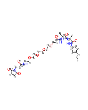 CCCc1ccc(NC(=O)[C@H](C)NC(=O)[C@H](C)NC(=O)CCOCCOCCOCCOCCNC(=O)CCN2C(=O)C=CC2=O)cc1